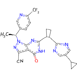 C[C@@H](c1ccc(C(F)(F)F)nc1)n1nc(C#N)c2c(=O)[nH]c(C3CCC3c3ncc(C4CC4)cn3)nc21